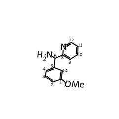 COc1cccc(C(N)c2ccccn2)c1